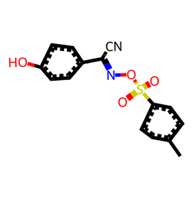 Cc1ccc(S(=O)(=O)O/N=C(\C#N)c2ccc(O)cc2)cc1